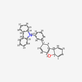 C1=CC2OC3=C(CC(c4cccc(-n5c6ccccc6c6ccccc65)c4)C=C3)C2C=C1